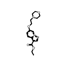 CCOC(=O)c1cnn2cc(OCCN3CCOCC3)ccc12